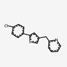 Clc1ccc(-c2cc(Cc3ccccn3)cs2)cc1